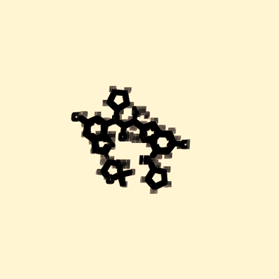 CC1(C)N[C@@H](c2cc3cc(Cl)cc(N(C4CCCC4)C(O)[C@@H](N)c4cc5cc(Cl)cc(NC6CCCC6)c5[nH]4)c3[nH]2)CO1